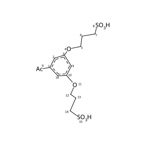 CC(=O)c1cc(OCCCS(=O)(=O)O)cc(OCCCS(=O)(=O)O)c1